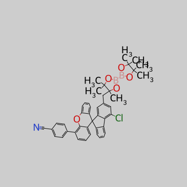 CC1(C)OB(B2OC(C)(C)C(C)(Cc3cc(Cl)c4c(c3)C3(c5ccccc5Oc5c(-c6ccc(C#N)cc6)cccc53)c3ccccc3-4)O2)OC1(C)C